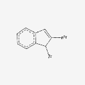 CCCC1=Cc2ccccc2[CH]1[Zr]